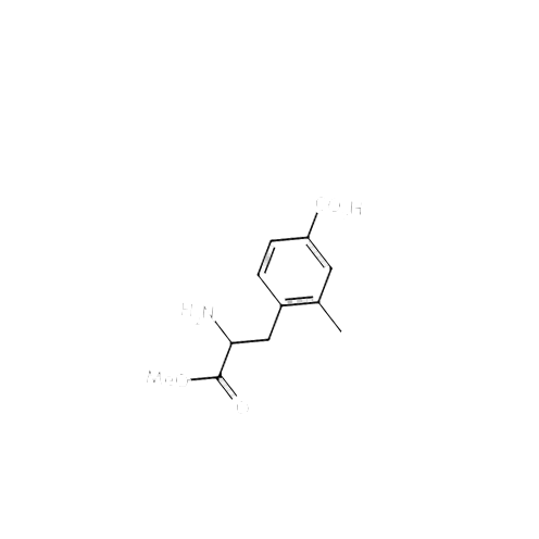 COC(=O)C(N)Cc1ccc(C(=O)O)cc1C